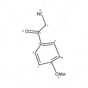 COc1ccc(C(=O)[CH]C#N)cc1